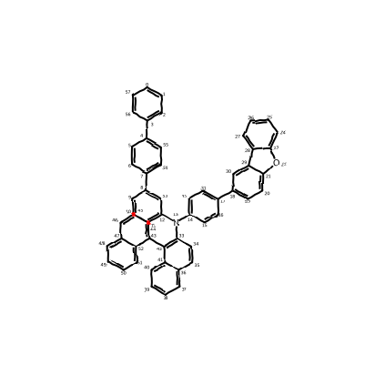 c1ccc(-c2ccc(-c3cccc(N(c4ccc(-c5ccc6oc7ccccc7c6c5)cc4)c4ccc5ccccc5c4-c4cccc5ccccc45)c3)cc2)cc1